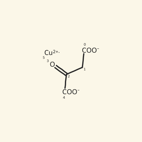 O=C([O-])CC(=O)C(=O)[O-].[Cu+2]